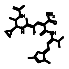 C=C(C)NC(C)C(N/C(C)=C(F)/C=C(\C(=C)N/C(=C/C=C1\CC(C)=CN1C)C(C)C)C(N)=O)C1CC1